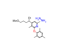 CCC(CCCOC)c1cc(C)nc(Oc2c(C)cc(C)cc2C)c1C.NN